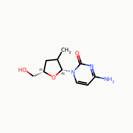 CC1C[C@@H](CO)O[C@H]1n1ccc(N)nc1=O